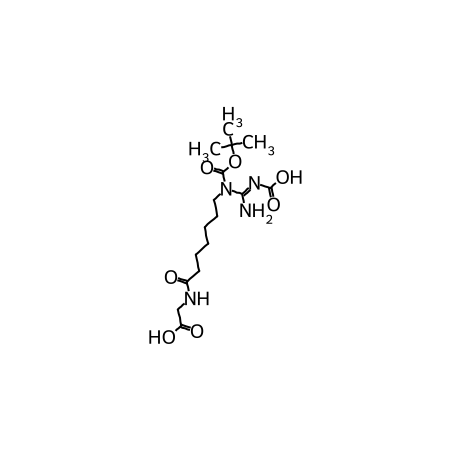 CC(C)(C)OC(=O)N(CCCCCCC(=O)NCC(=O)O)C(N)=NC(=O)O